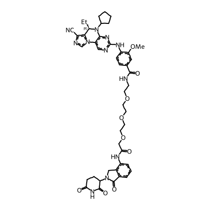 CC[C@@H]1c2c(C#N)ncn2-c2cnc(Nc3ccc(C(=O)NCCOCCOCCOCC(=O)Nc4cccc5c4CN(C4CCC(=O)NC4=O)C5=O)cc3OC)nc2N1C1CCCC1